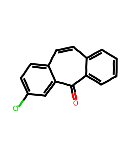 O=c1c2ccccc2ccc2ccc(Cl)cc12